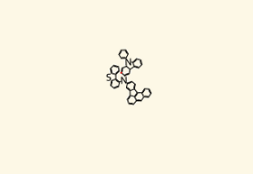 C1=CC2C(C=C1N(c1ccc3c(c1)-c1cccc4cc5ccccc5c-3c14)c1cccc3sc4ccccc4c13)c1ccccc1N2c1ccccc1